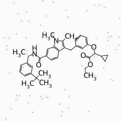 CCOC(=O)C(Oc1cccc(Cc2c(C)n(C)c3cc(C(=O)N[C@@H](C)c4cccc(C(C)(C)C)c4)ccc23)c1)C1CC1